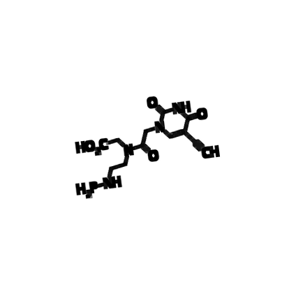 C#Cc1cn(CC(=O)N(CCNP)CC(=O)O)c(=O)[nH]c1=O